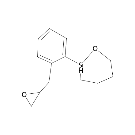 c1ccc([SiH]2CCCCO2)c(CC2CO2)c1